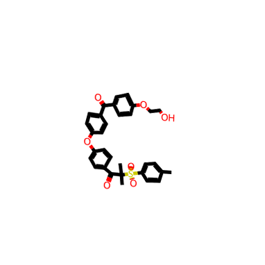 Cc1ccc(S(=O)(=O)C(C)(C)C(=O)c2ccc(Oc3ccc(C(=O)c4ccc(OCCO)cc4)cc3)cc2)cc1